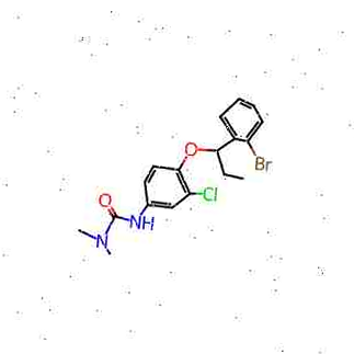 CCC(Oc1ccc(NC(=O)N(C)C)cc1Cl)c1ccccc1Br